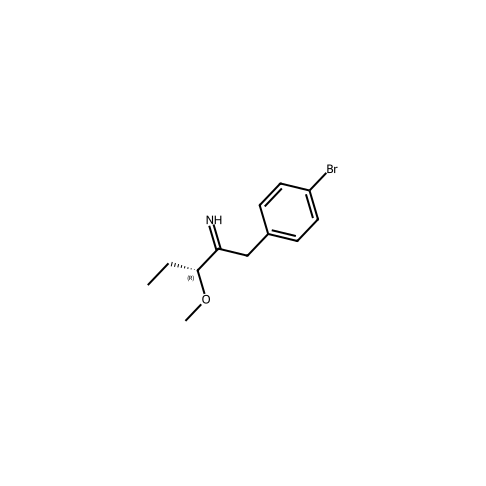 CC[C@@H](OC)C(=N)Cc1ccc(Br)cc1